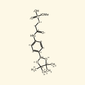 COP(=O)(O)SCC(=O)Nc1ccc(B2OC(C)(C)C(C)(C)O2)cc1